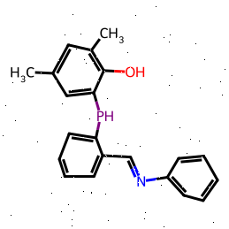 Cc1cc(C)c(O)c(Pc2ccccc2/C=N/c2ccccc2)c1